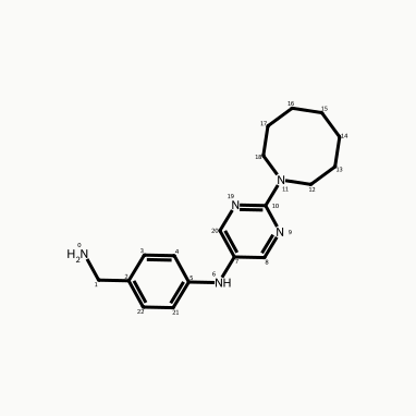 NCc1ccc(Nc2cnc(N3CCCCCCC3)nc2)cc1